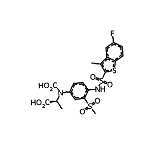 Cc1c(S(=O)(=O)Nc2ccc(N(C(=O)O)[C@@H](C)C(=O)O)cc2S(C)(=O)=O)sc2ccc(F)cc12